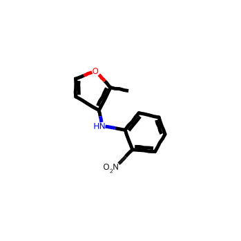 Cc1occc1Nc1ccccc1[N+](=O)[O-]